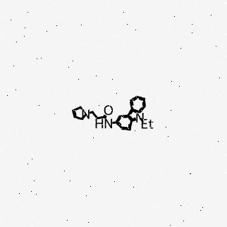 CCn1c2ccccc2c2cc(NC(=O)CCN3CC=CC3)ccc21